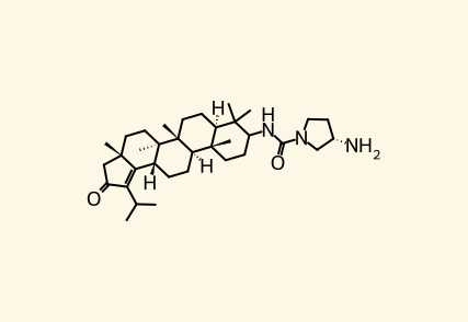 CC(C)C1=C2[C@H]3CC[C@@H]4[C@@]5(C)CCC(NC(=O)N6CC[C@H](N)C6)C(C)(C)[C@@H]5CC[C@@]4(C)[C@]3(C)CC[C@@]2(C)CC1=O